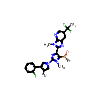 CC[S+]([O-])c1c(-c2nc3cc(C(F)(F)C(F)(F)F)cnc3n2C)nc(-n2cc(C#N)c(-c3ccccc3F)c2)n1C